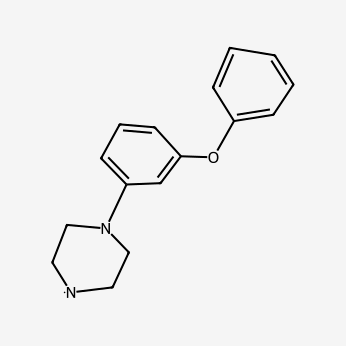 c1ccc(Oc2cccc(N3CC[N]CC3)c2)cc1